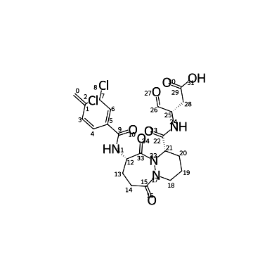 C=C(Cl)/C=C\C(=C/CCl)C(=O)N[C@H]1CCC(=O)N2CCC[C@@H](C(=O)N[C@H](C=O)CC(=O)O)N2C1=O